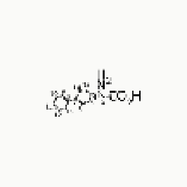 NC(CC(=O)O)c1ccc(-c2ccccc2)cc1